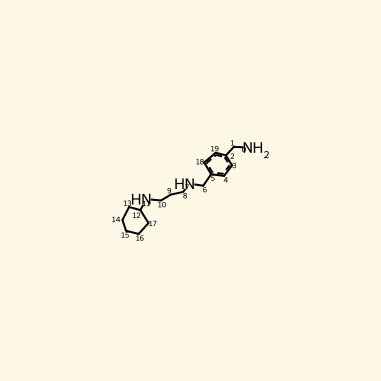 NCc1ccc(CNCCCNC2CCCCC2)cc1